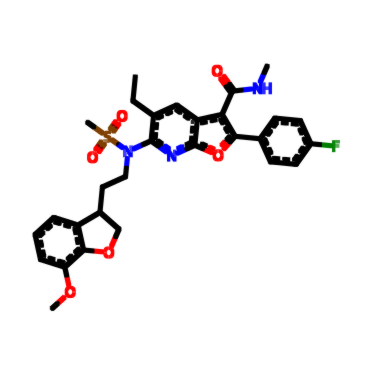 CCc1cc2c(C(=O)NC)c(-c3ccc(F)cc3)oc2nc1N(CCC1COc2c(OC)cccc21)S(C)(=O)=O